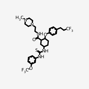 CN1CCN(CCNC(=O)C2CC(NC(=S)Nc3cccc(OC(F)(F)F)c3)CCC2Oc2ccc(CCC(F)(F)F)cc2)CC1